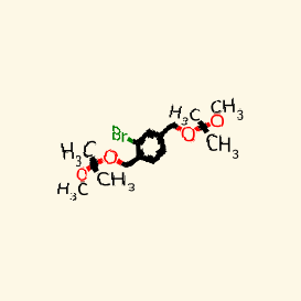 COC(C)(C)OCc1ccc(COC(C)(C)OC)c(Br)c1